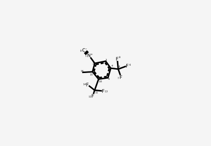 [C-]#[N+]c1cc(C(F)(F)F)cc(C(F)(F)F)c1C